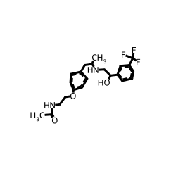 CC(=O)NCCOc1ccc(CC(C)NCC(O)c2cccc(C(F)(F)F)c2)cc1